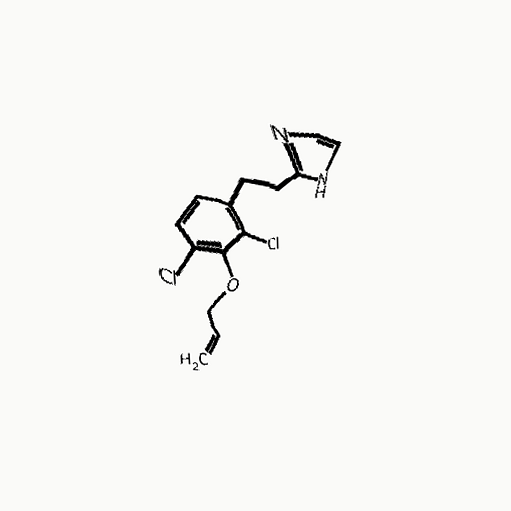 C=CCOc1c(Cl)ccc(CCc2ncc[nH]2)c1Cl